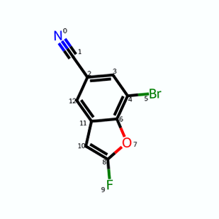 N#Cc1cc(Br)c2oc(F)cc2c1